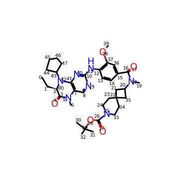 CC[C@@H]1C(=O)N(C)c2cnc(Nc3ccc(C(=O)N(C)C4CC5(CCN(C(=O)OC(C)(C)C)CC5)C4)cc3OC)nc2N1C1CCCC1